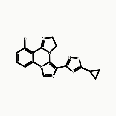 Brc1cccc2c1C1=NCCN1c1c(-c3noc(C4CC4)n3)ncn1-2